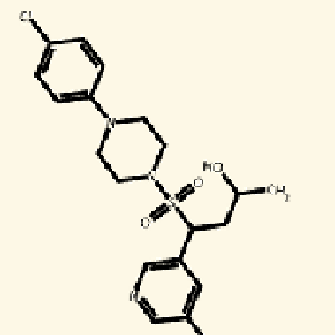 CC(O)CC(c1cncc(Cl)c1)S(=O)(=O)N1CCN(c2ccc(Cl)cc2)CC1